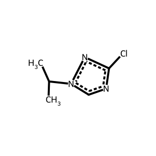 CC(C)n1cnc(Cl)n1